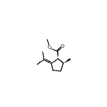 COC(=O)[C@@H]1C(=C(C)C)CC[C@@H]1C